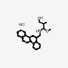 COC(NCc1cc2c3ccccc3ccc2c2ccccc12)C(C)CO.Cl